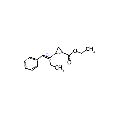 CCOC(=O)C1CC1/C(=C/c1ccccc1)CC